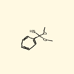 COC(S)(OC)c1ccccc1